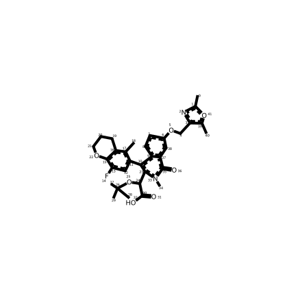 Cc1nc(COc2ccc3c(-c4cc(F)c5c(c4C)CCCO5)c(C(OC(C)(C)C)C(=O)O)n(C)c(=O)c3c2)c(C)o1